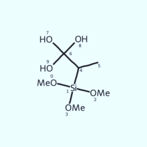 CO[Si](OC)(OC)C(C)C(O)(O)O